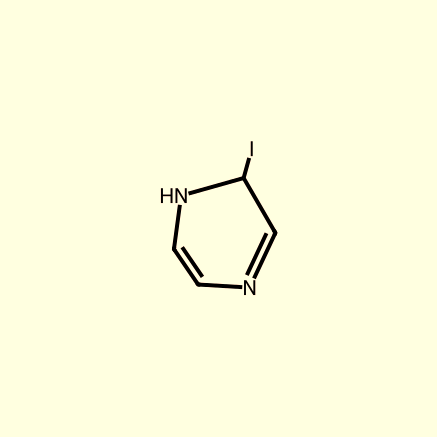 IC1C=NC=CN1